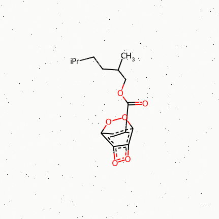 CC(C)CCC(C)COC(=O)c1cc2c3ooc3c1OO2